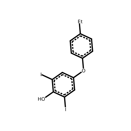 CCc1ccc(Oc2cc(I)c(O)c(I)c2)cc1